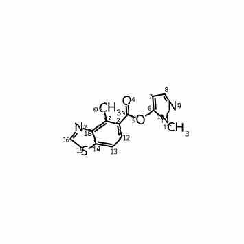 Cc1c(C(=O)Oc2ccnn2C)ccc2scnc12